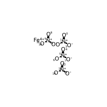 O=[N+]([O-])[O-].O=[N+]([O-])[O-].O=[N+]([O-])[O-].O=[N+]([O-])[O-].[Fe+4]